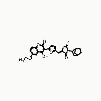 COc1ccc2oc(=O)c(-c3ccc(/C=C4\SC(=S)N(C5CC6CCC5C6)C4=O)o3)c(O)c2c1